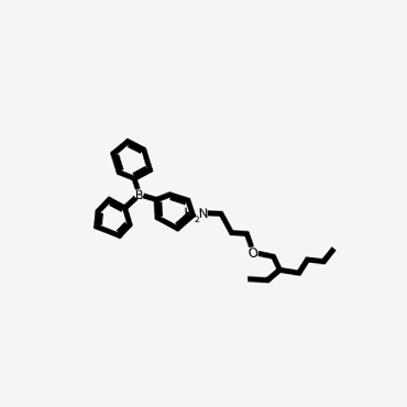 CCCCC(CC)COCCCN.c1ccc(B(c2ccccc2)c2ccccc2)cc1